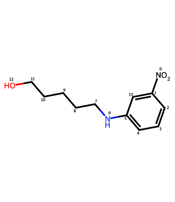 O=[N+]([O-])c1cccc(NCCCCCO)c1